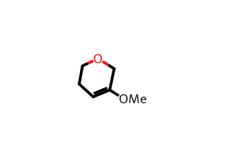 COC1=CCCOC1